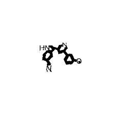 COc1cccc(-c2cncc(-c3c[nH]c4ccc(C#N)cc34)c2)c1